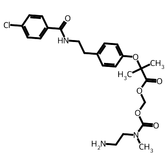 CN(CCN)C(=O)OCOC(=O)C(C)(C)Oc1ccc(CCNC(=O)c2ccc(Cl)cc2)cc1